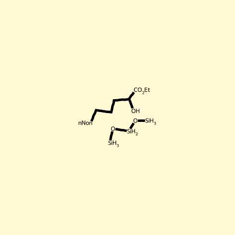 CCCCCCCCCCCCC(O)C(=O)OCC.[SiH3]O[SiH2]O[SiH3]